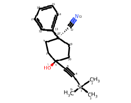 C[Si](C)(C)C#C[C@]1(O)CC[C@@](C#N)(c2ccccc2)CC1